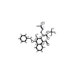 C/C(Cl)=C\CN(C(=O)OC(C)(C)C)c1c(I)c(OCc2ccccc2)c2ccccc2c1C=O